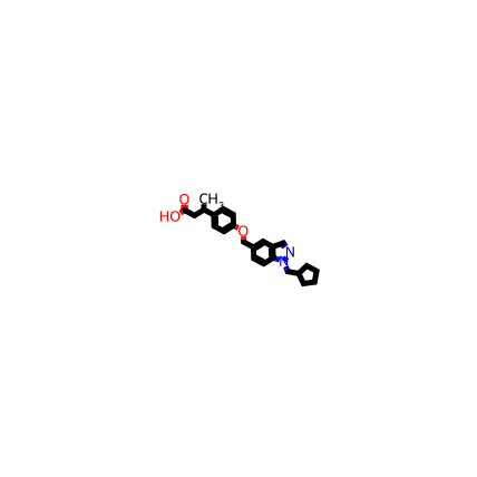 CC(CC(=O)O)c1ccc(OCc2ccc3c(cnn3CC3CCCC3)c2)cc1